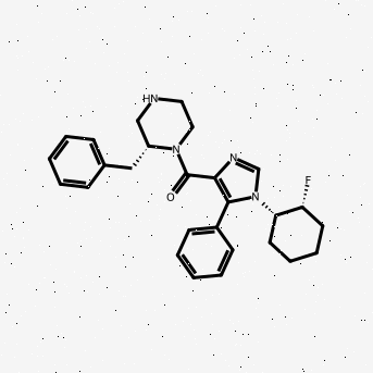 O=C(c1ncn([C@H]2CCCC[C@H]2F)c1-c1ccccc1)N1CCNC[C@H]1Cc1ccccc1